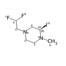 CN1CCN(CC(F)F)C[C@H]1I